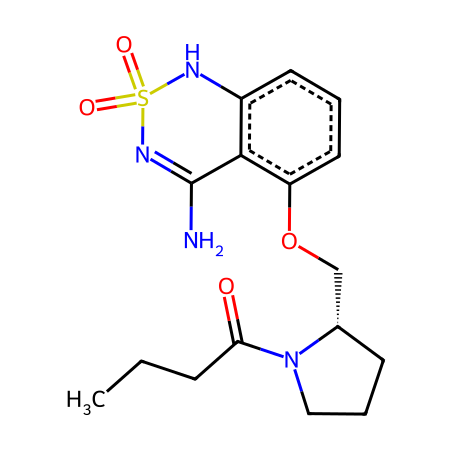 CCCC(=O)N1CCC[C@H]1COc1cccc2c1C(N)=NS(=O)(=O)N2